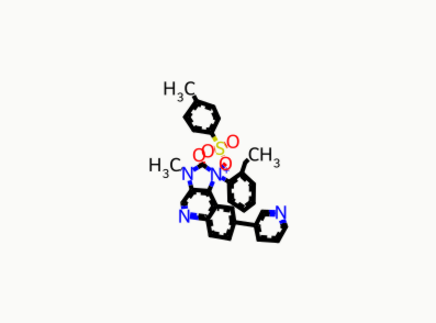 CCc1ccccc1[N+]1(OS(=O)(=O)c2ccc(C)cc2)C(=O)N(C)c2cnc3ccc(-c4cccnc4)cc3c21